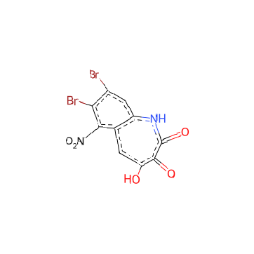 O=c1[nH]c2cc(Br)c(Br)c([N+](=O)[O-])c2cc(O)c1=O